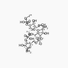 B[C@@H]1O[C@H](CO)C(OP(=O)(O)OC[C@H]2O[C@@H](B)C(O)C2OP(=O)(O)OC[C@H]2O[C@@H](B=C)C(O)C2OP(=O)(O)OI)C1O